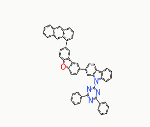 c1ccc(-c2nc(-c3ccccc3)nc(-n3c4ccccc4c4ccc(-c5ccc6oc7ccc(-c8cccc9cc%10ccccc%10cc89)cc7c6c5)cc43)n2)cc1